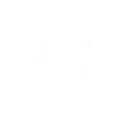 c1ccc(-n2c3ccccc3c3c4c(ccc32)c(-c2cccc(-c3ccc(-c5nc(-c6cccc7ccccc67)nc(-c6cccc7ccccc67)n5)cc3)c2)nc2ccccc24)cc1